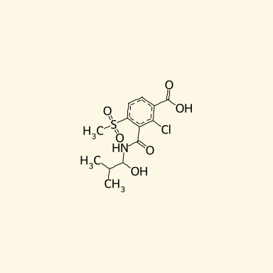 CC(C)C(O)NC(=O)c1c(S(C)(=O)=O)ccc(C(=O)O)c1Cl